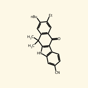 CCCCc1cc2c(cc1CC)C(=O)c1c([nH]c3cc(C#N)ccc13)C2(C)C